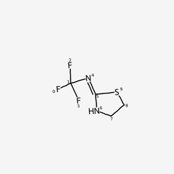 FC(F)(F)/N=C1\NCCS1